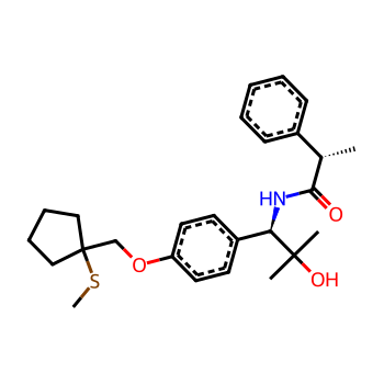 CSC1(COc2ccc([C@@H](NC(=O)[C@@H](C)c3ccccc3)C(C)(C)O)cc2)CCCC1